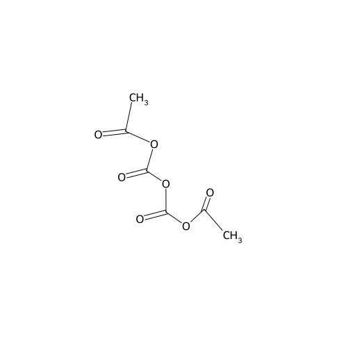 CC(=O)OC(=O)OC(=O)OC(C)=O